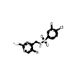 O=S(=O)(NCc1nc(C(F)(F)F)ncc1O)c1ccc(Cl)c(Cl)c1